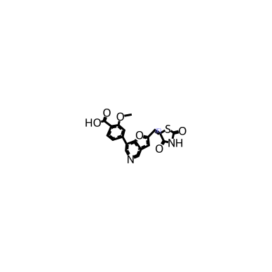 COc1cc(-c2cncc3cc(/C=C4/SC(=O)NC4=O)oc23)ccc1C(=O)O